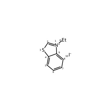 CC[n+]1csc2ccccc21.[I-]